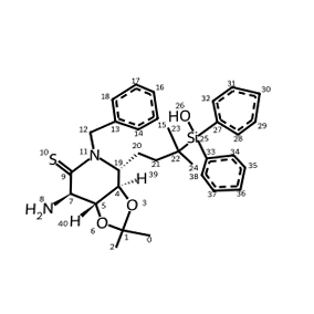 CC1(C)O[C@H]2[C@H](O1)[C@@H](N)C(=S)N(Cc1ccccc1)[C@@H]2CCC(C)(C)[Si](O)(c1ccccc1)c1ccccc1